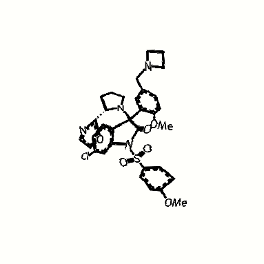 COc1ccc(S(=O)(=O)N2C(=O)C(c3cc(CN4CCC4)ccc3OC)(N3CCC[C@H]3c3ncco3)c3ccc(Cl)cc32)cc1